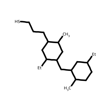 CCC1CCC(C)C(CC2CC(C)C(CCCS)CC2CC)C1